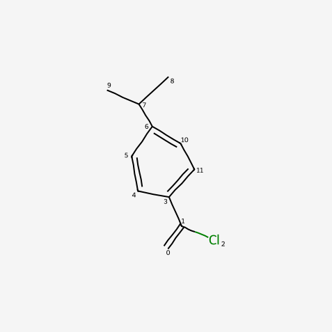 C=C(Cl)c1ccc(C(C)C)cc1